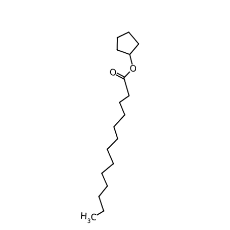 CCCCCCCCCCCCC(=O)OC1CCCC1